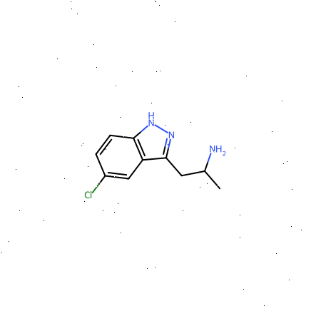 CC(N)Cc1n[nH]c2ccc(Cl)cc12